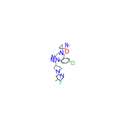 Cc1cc(N2CCC(c3nnc4n3-c3ccc(Cl)cc3CN(C3(C(=O)N(C)C)CC3)C4)CC2)ncc1F